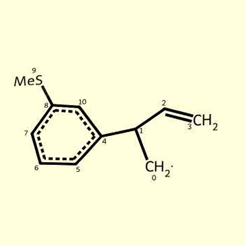 [CH2]C(C=C)c1cccc(SC)c1